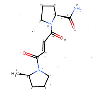 C[C@@H]1CCCN1C(=O)/C=C/C(=O)N1CCC[C@H]1C(N)=O